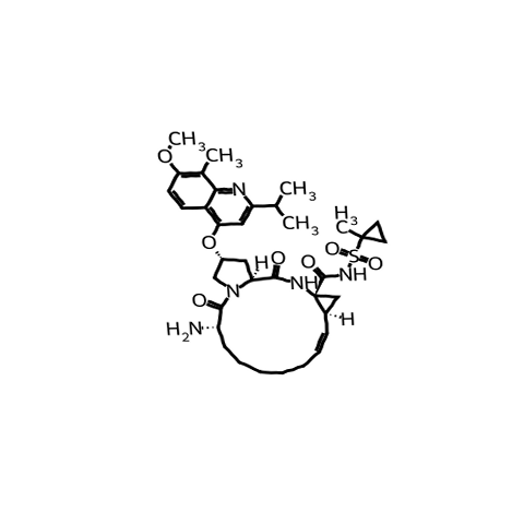 COc1ccc2c(O[C@@H]3C[C@H]4C(=O)N[C@]5(C(=O)NS(=O)(=O)C6(C)CC6)C[C@H]5/C=C\CCCCC[C@H](N)C(=O)N4C3)cc(C(C)C)nc2c1C